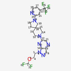 FC(F)OCCn1ncc2ncc(N3CCC4(CCN(c5cc(C(F)(F)F)ccn5)C4)CC3)nc21